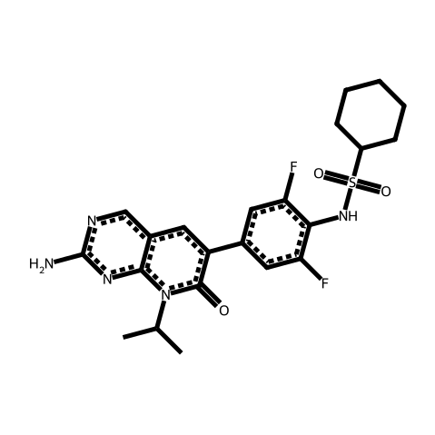 CC(C)n1c(=O)c(-c2cc(F)c(NS(=O)(=O)C3CCCCC3)c(F)c2)cc2cnc(N)nc21